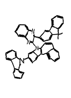 CC1(C)c2ccccc2-c2cc(-c3nc4ccccc4nc3-n3c4cc(-n5c6ccccc6c6ccccc65)ccc4c4c5ccccc5ccc43)ccc21